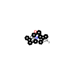 CC1(C)c2ccccc2-c2cccc(-c3cccc(N(c4ccc5c(c4)C(C)(c4ccccc4)c4ccccc4-5)c4cccc5oc6ccccc6c45)c3)c21